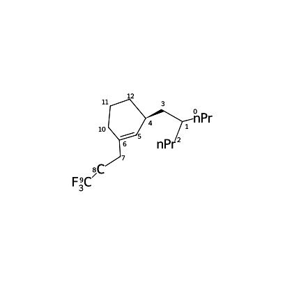 CCCC(CCC)C[C@H]1C=C(CCC(F)(F)F)CCC1